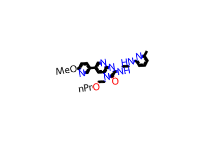 CCCOCCn1c(=O)c(NCCNc2cccc(C)n2)nc2ncc(-c3ccc(OC)nc3)cc21